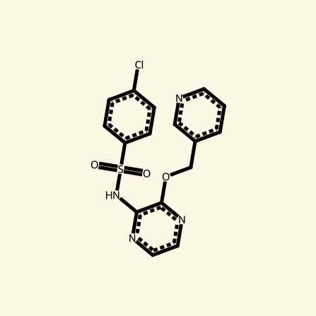 O=S(=O)(Nc1nccnc1OCc1cccnc1)c1ccc(Cl)cc1